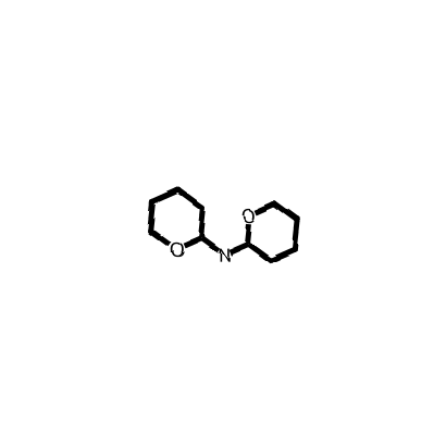 C1CCC([N]C2CCCCO2)OC1